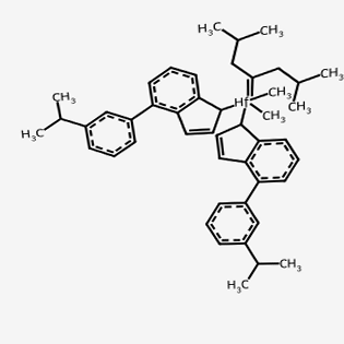 CC(C)C[C](CC(C)C)=[Hf]([CH3])([CH3])([CH]1C=Cc2c(-c3cccc(C(C)C)c3)cccc21)[CH]1C=Cc2c(-c3cccc(C(C)C)c3)cccc21